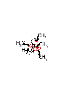 CCC=COC(CC)C(O[SiH3])(C(CC)OC=CCC)C(CC)OC=CCC